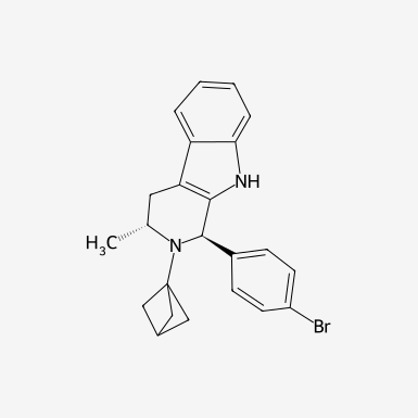 C[C@@H]1Cc2c([nH]c3ccccc23)[C@@H](c2ccc(Br)cc2)N1C12CC(C1)C2